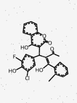 CC(=O)/C(=C(/O)c1ccccc1C)C(c1cc(F)c(O)c(Cl)c1)c1c(O)c2ccccc2oc1=O